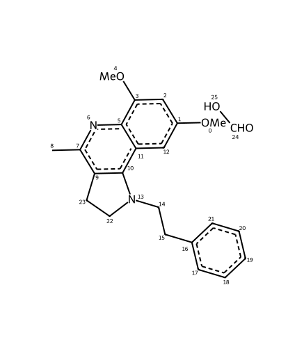 COc1cc(OC)c2nc(C)c3c(c2c1)N(CCc1ccccc1)CC3.O=CO